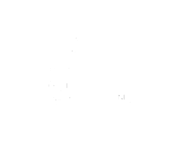 Nc1cccc(C(=O)C2CC2)c1.O=C(O)O